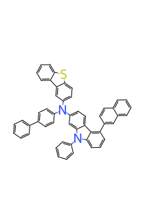 c1ccc(-c2ccc(N(c3ccc4sc5ccccc5c4c3)c3ccc4c5c(-c6ccc7ccccc7c6)cccc5n(-c5ccccc5)c4c3)cc2)cc1